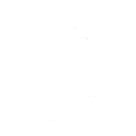 CC.Oc1ccc(-c2ccccc2)c(-c2ccccc2)c1.Oc1ccc(-c2ccccc2)c(-c2ccccc2)c1